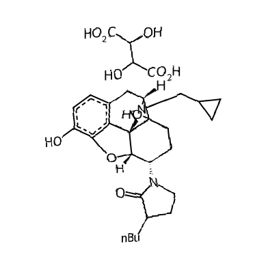 CCCCC1CCN([C@H]2CCC3(O)[C@H]4Cc5ccc(O)c6c5[C@@]3(CCN4CC3CC3)[C@H]2O6)C1=O.O=C(O)C(O)C(O)C(=O)O